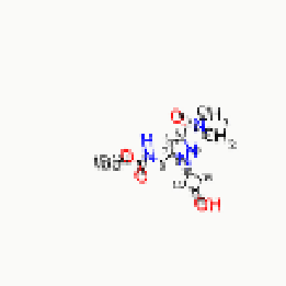 CN(C)C(=O)c1cc(CNC(=O)OC(C)(C)C)n([C@H]2C[C@@H](O)C2)n1